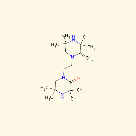 C=C1N(CCN2CC(C)(C)NC(C)(C)C2=O)CC(C)(C)NC1(C)C